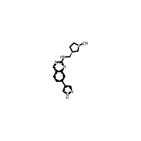 N#CN1CC[C@H](CNc2ncc3ccc(-c4cn[nH]c4)cc3n2)C1